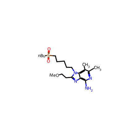 CCCCS(=O)(=O)CCCCCn1c(CCOC)nc2c(N)nc(C)c(C)c21